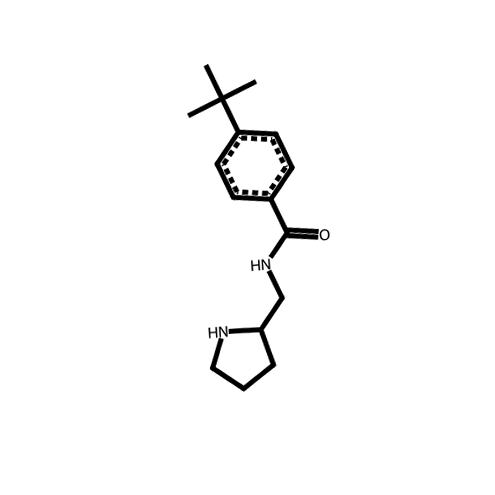 CC(C)(C)c1ccc(C(=O)NCC2CCCN2)cc1